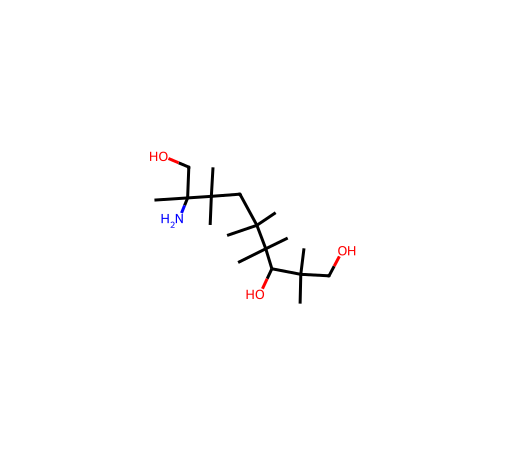 CC(C)(CO)C(O)C(C)(C)C(C)(C)CC(C)(C)C(C)(N)CO